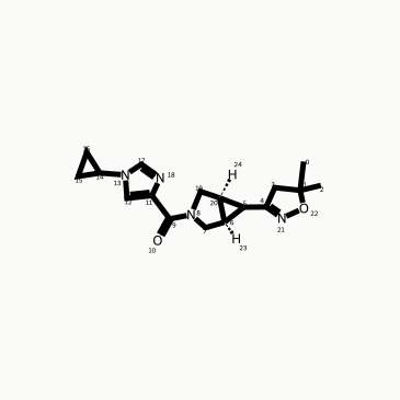 CC1(C)CC(C2[C@H]3CN(C(=O)c4cn(C5CC5)cn4)C[C@@H]23)=NO1